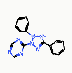 c1ccc(C2=NN(c3ncncn3)N(c3ccccc3)N2)cc1